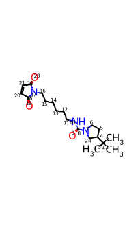 CC(C)(C)C1CCN(C(=O)NCCCCCCN2C(=O)C=CC2=O)C1